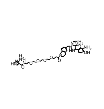 N=C(c1ccc(O)c(N)c1)c1c(N)ncnc1NCc1ccc2c(c1)CCN(C(=O)CCOCCOCCOCCOCCNC(=O)c1c[nH]nc1N)C2